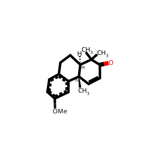 COc1ccc2c(c1)[C@@]1(C)C=CC(=O)C(C)(C)[C@@H]1CC2